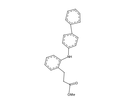 COC(=O)CCc1ccccc1Nc1ccc(-c2ccccc2)cc1